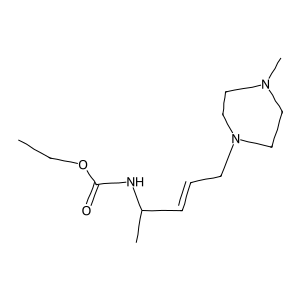 CCOC(=O)NC(C)/C=C/CN1CCN(C)CC1